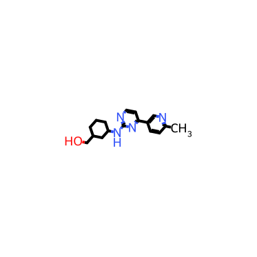 Cc1ccc(-c2ccnc(NC3CCCC(CO)C3)n2)cn1